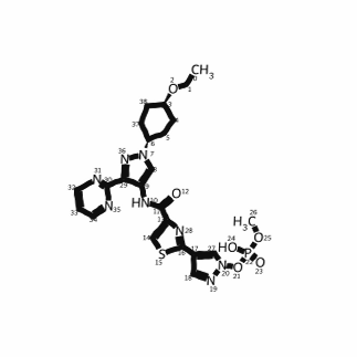 CCO[C@H]1CC[C@H](n2cc(NC(=O)c3csc(-c4cnn(OP(=O)(O)OC)c4)n3)c(-c3ncccn3)n2)CC1